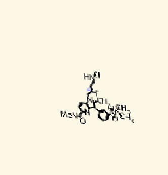 CNC(=O)c1ccc2c(n1)c(-c1cccc(S(=O)(=O)N(C)C)c1)c(C)n2C/C(F)=C/CNCl